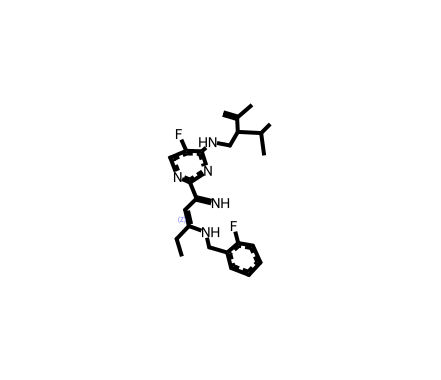 C=C(C)C(CNc1nc(C(=N)/C=C(/CC)NCc2ccccc2F)ncc1F)C(C)C